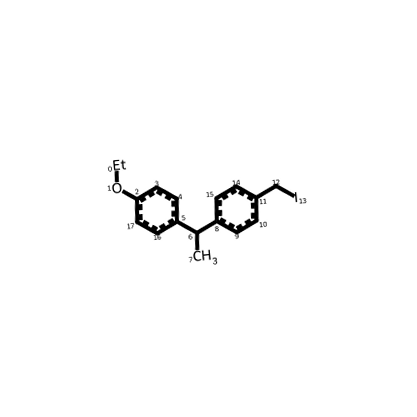 CCOc1ccc(C(C)c2ccc(CI)cc2)cc1